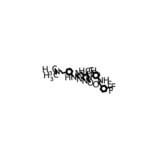 Cc1ccc(NC(=O)c2cccc(C(F)(F)F)c2)cc1-n1c(C)c2cnc(Nc3cccc(CCN(C)C)c3)nc2nc1=O